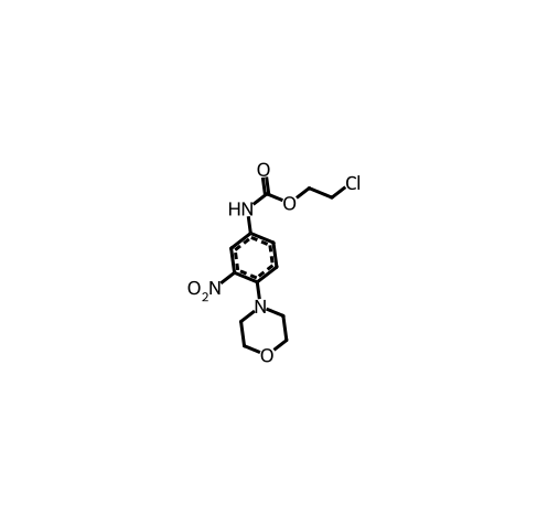 O=C(Nc1ccc(N2CCOCC2)c([N+](=O)[O-])c1)OCCCl